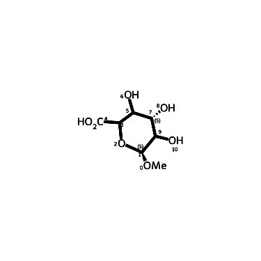 CO[C@H]1OC(C(=O)O)C(O)[C@H](O)C1O